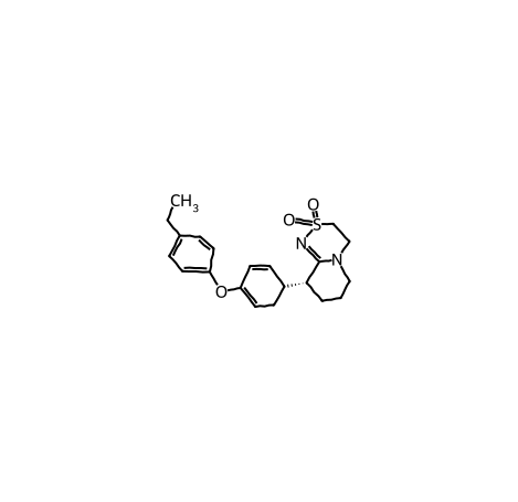 CCc1ccc(OC2=CCC([C@H]3CCCN4CCS(=O)(=O)N=C34)C=C2)cc1